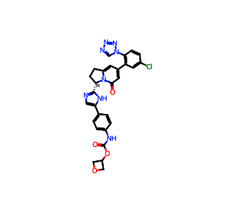 O=C(Nc1ccc(-c2cnc([C@@H]3CCc4cc(-c5cc(Cl)ccc5-n5cnnn5)cc(=O)n43)[nH]2)cc1)OC1COC1